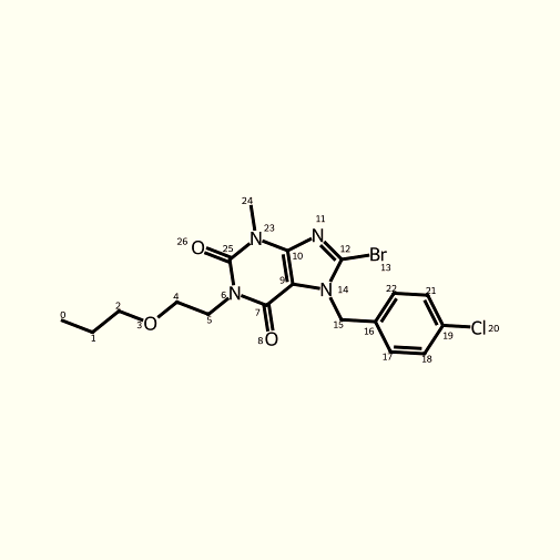 CCCOCCn1c(=O)c2c(nc(Br)n2Cc2ccc(Cl)cc2)n(C)c1=O